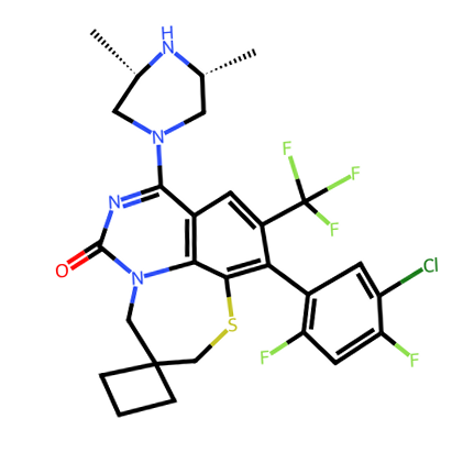 C[C@@H]1CN(c2nc(=O)n3c4c(c(-c5cc(Cl)c(F)cc5F)c(C(F)(F)F)cc24)SCC2(CCC2)C3)C[C@H](C)N1